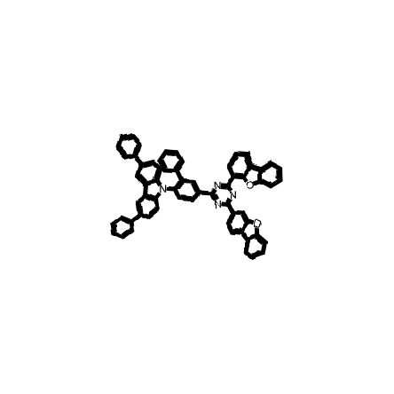 c1ccc(-c2ccc3c(c2)c2cc(-c4ccccc4)ccc2n3-c2ccc(-c3nc(-c4ccc5c(c4)oc4ccccc45)nc(-c4cccc5c4oc4ccccc45)n3)cc2-c2ccccc2)cc1